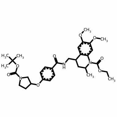 CCOC(=O)N1c2cc(OC)c(OC)cc2C(CNC(=O)c2ccc(OC3CCN(C(=O)OC(C)(C)C)C3)cc2)CC1C